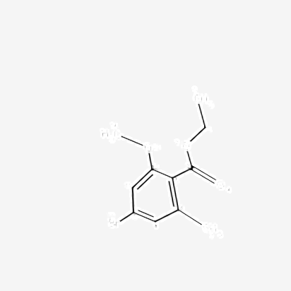 CCOC(=O)c1c(C)cc(Br)cc1OC